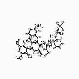 COc1cc(OC)c(Cl)c(N2CC3=C/CC/C=C(NC4CCCCC4NC(=O)OC(C)(C)C)/N=C\3N(Cc3cccc(N)c3)C2=O)c1Cl